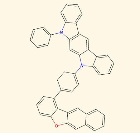 C1=C(c2cccc3oc4cc5ccccc5cc4c23)CCC(n2c3ccccc3c3cc4c5ccccc5n(-c5ccccc5)c4cc32)=C1